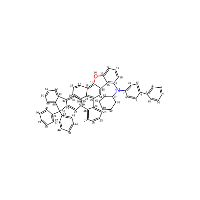 c1ccc(-c2ccc(N(c3cccc4oc5c6ccccc6c(-c6ccccc6-c6ccc7c(c6)C(c6ccccc6)(c6ccccc6)c6ccccc6-7)cc5c34)C3CCCCC3)cc2)cc1